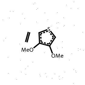 C=C.COc1cscc1OC